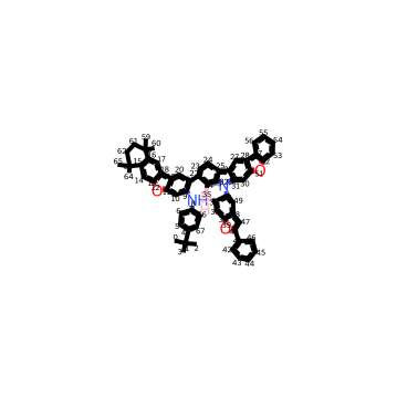 CC(C)(C)c1ccc(Nc2cc3oc4cc5c(cc4c3cc2-c2ccc3c4cc6c(cc4n4c3c2Bc2cc3oc(-c7ccccc7)cc3cc2-4)oc2ccccc26)C(C)(C)CCC5(C)C)cc1